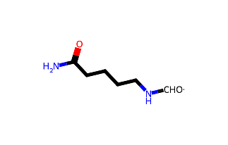 NC(=O)CCCCN[C]=O